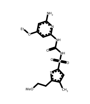 CCOc1cc(N)nc(NC(=O)NS(=O)(=O)c2cc(C)c(CCOC)s2)c1